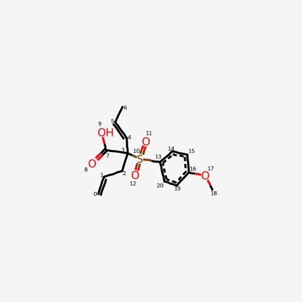 C=CCC(C=CC)(C(=O)O)S(=O)(=O)c1ccc(OC)cc1